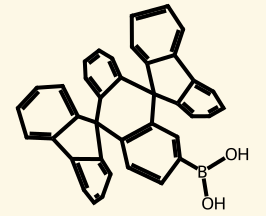 OB(O)c1ccc2c(c1)C1(c3ccccc3-c3ccccc31)c1ccccc1C21c2ccccc2-c2ccccc21